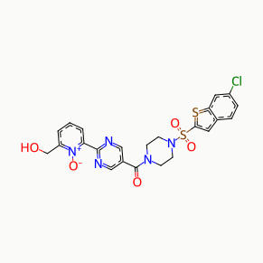 O=C(c1cnc(-c2cccc(CO)[n+]2[O-])nc1)N1CCN(S(=O)(=O)c2cc3ccc(Cl)cc3s2)CC1